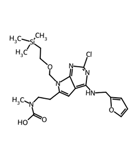 CN(CCc1cc2c(NCc3ccco3)nc(Cl)nc2n1COCC[Si](C)(C)C)C(=O)O